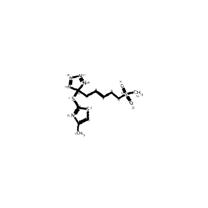 Cc1csc(SC2(CCCCCS(C)(=O)=O)N=NN=N2)n1